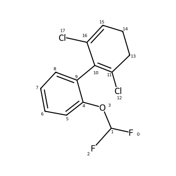 FC(F)Oc1ccccc1C1=C(Cl)CCC=C1Cl